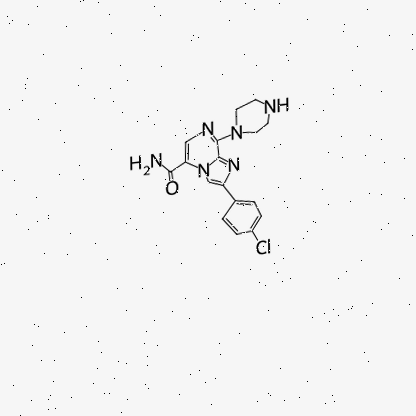 NC(=O)c1cnc(N2CCNCC2)c2nc(-c3ccc(Cl)cc3)cn12